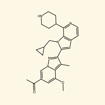 COc1cc(C(C)=O)cn2nc(-c3cc4ccnc(C5CCNCC5)c4n3CC3CC3)c(C)c12